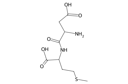 CSCCC(NC(=O)C(N)CC(=O)O)C(=O)O